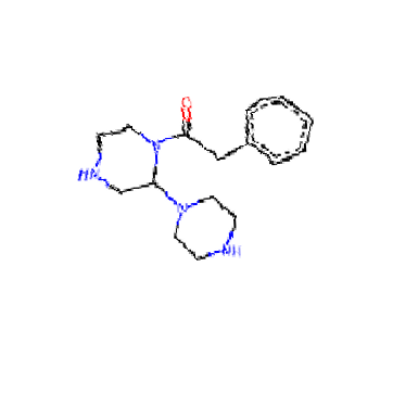 O=C(Cc1ccccc1)N1CCNCC1N1CCNCC1